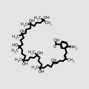 C/C(=C\Cc1cc(C(=O)O)ccc1N)CC/C=C(\C)CCCC(C)(O)CCCC(C)(O)CCCC(C)(O)CCCC(C)(O)CCCC(C)(O)CCCC(C)(O)CCCC(C)(C)O